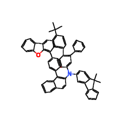 CC(C)(C)c1ccc(-c2ccc(N(c3ccc4c(c3)-c3ccccc3C4(C)C)c3ccc4ccccc4c3-c3ccc(-c4cccc5c4oc4ccccc45)cc3)cc2-c2ccccc2)cc1